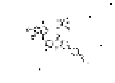 COc1ccc(N2CCN(C(=O)c3cc(Cc4c[nH]c(=O)c5cc(Cl)c(Cl)n45)ccc3F)CC2)cc1.O=C(O)C(F)(F)F